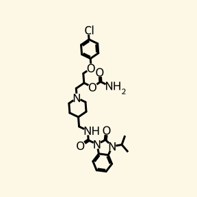 CC(C)n1c(=O)n(C(=O)NCC2CCN(CC(COc3ccc(Cl)cc3)OC(N)=O)CC2)c2ccccc21